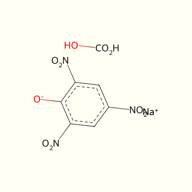 O=C(O)O.O=[N+]([O-])c1cc([N+](=O)[O-])c([O-])c([N+](=O)[O-])c1.[Na+]